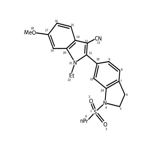 CCCS(=O)(=O)N1CCc2ccc(-c3c(C#N)c4ccc(OC)cc4n3CC)cc21